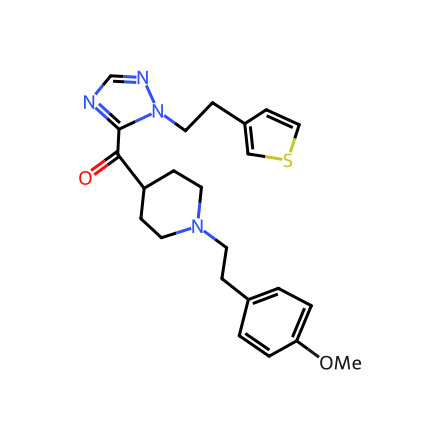 COc1ccc(CCN2CCC(C(=O)c3ncnn3CCc3ccsc3)CC2)cc1